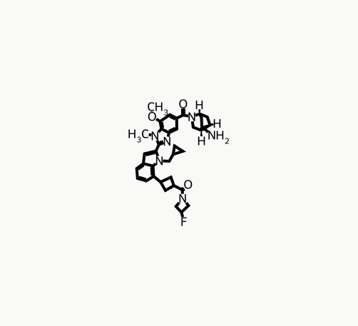 COc1cc(C(=O)N2C[C@H]3CC[C@@H]2C[C@@H]3N)cc2nc(-c3cc4cccc(C5CC(C(=O)N6CC(F)C6)C5)c4n3CC3CC3)n(C)c12